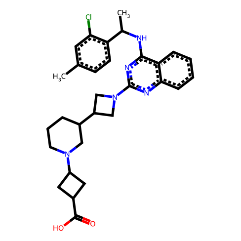 Cc1ccc(C(C)Nc2nc(N3CC(C4CCCN(C5CC(C(=O)O)C5)C4)C3)nc3ccccc23)c(Cl)c1